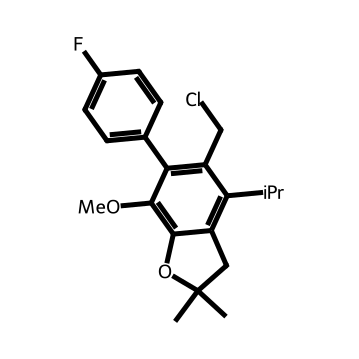 COc1c2c(c(C(C)C)c(CCl)c1-c1ccc(F)cc1)CC(C)(C)O2